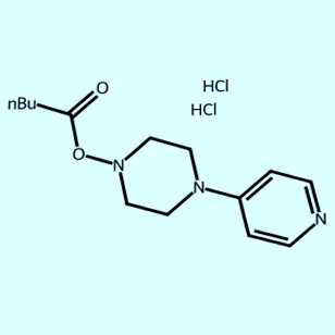 CCCCC(=O)ON1CCN(c2ccncc2)CC1.Cl.Cl